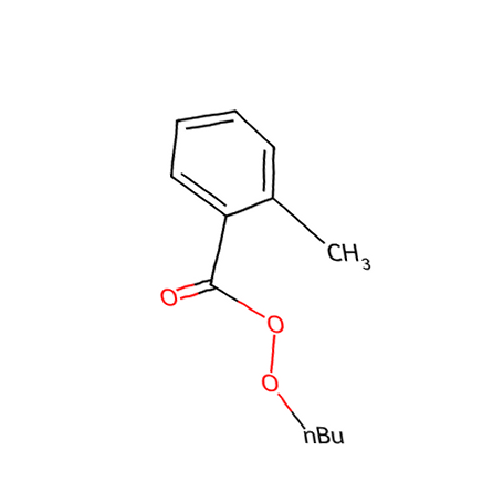 [CH2]CCCOOC(=O)c1ccccc1C